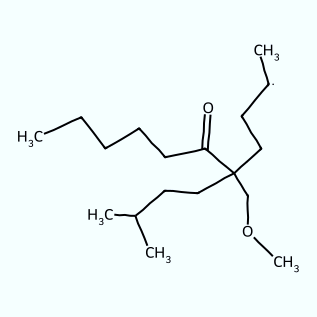 C[CH]CCC(CCC(C)C)(COC)C(=O)CCCCC